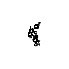 Cc1cc2ccnc(Nc3ccc(O)c(F)c3)c2c(=O)n1-c1ccc(F)cc1